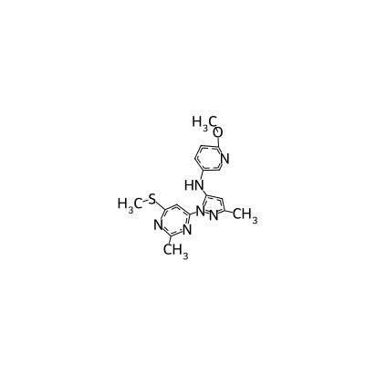 COc1ccc(Nc2cc(C)nn2-c2cc(SC)nc(C)n2)cn1